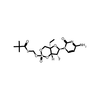 CC[C@@]12COP(=O)(OCSC(=O)C(C)(C)C)O[C@H]1[C@@H](F)[C@H](n1ccc(N)nc1=O)O2